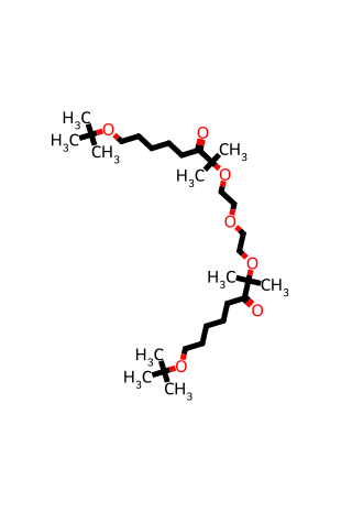 CC(C)(C)OCCCCCC(=O)C(C)(C)OCCOCCOC(C)(C)C(=O)CCCCCOC(C)(C)C